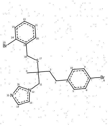 CC(CCc1ccc(Br)cc1)(Cn1ccnc1)SCc1ccccc1Br